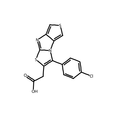 O=C(O)Cc1sc2nc3cscc3n2c1-c1ccc(Cl)cc1